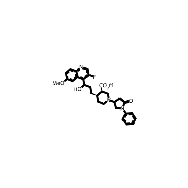 COc1ccc2ncc(F)c(C(O)CC[C@@H]3CCN(C4CC(=O)N(c5ccccc5)C4)C[C@@H]3C(=O)O)c2c1